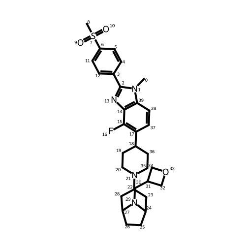 Cn1c(-c2ccc(S(C)(=O)=O)cc2)nc2c(F)c(C3CCN(C4CC5CCC(C4)N5CC4COC4)CC3)ccc21